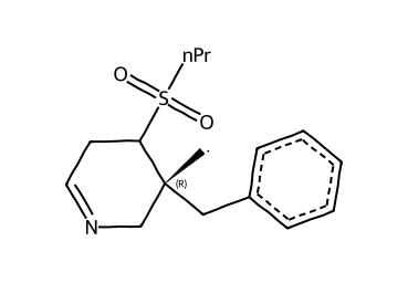 [CH2][C@@]1(Cc2ccccc2)CN=CCC1S(=O)(=O)CCC